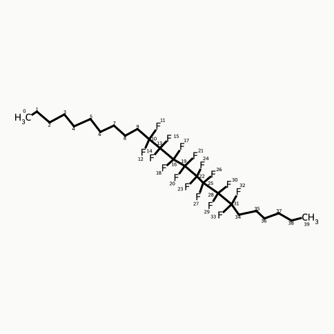 CCCCCCCCCCC(F)(F)C(F)(F)C(F)(F)C(F)(F)C(F)(F)C(F)(F)C(F)(F)C(F)(F)CCCCCC